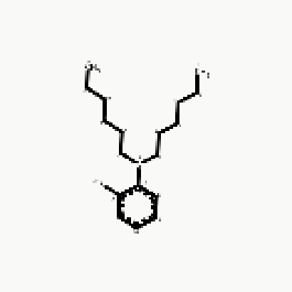 CCCCCCN(CCCCCC)c1ccccc1F